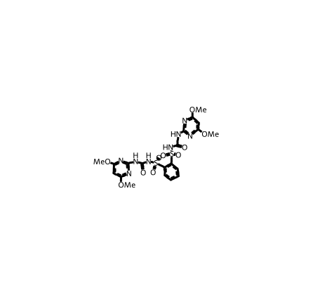 COc1cc(OC)nc(NC(=O)NS(=O)(=O)c2ccccc2S(=O)(=O)NC(=O)Nc2nc(OC)cc(OC)n2)n1